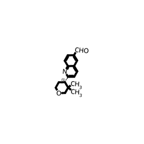 CC1(C)COCC[C@@H]1c1ccc2cc(C=O)ccc2n1